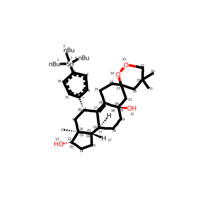 CCC[CH2][Sn]([CH2]CCC)([CH2]CCC)[c]1ccc([C@H]2C[C@]3(C)[C@@H](O)CC[C@H]3[C@@H]3CC[C@@]4(O)CC5(CCC4=C32)CC(C)(C)COO5)cc1